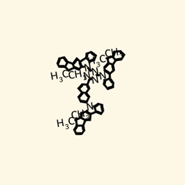 CC1(C)c2ccccc2-c2cc3c4ccccc4n(-c4ccc5ccc(-c6nc(-n7c8ccccc8c8cc9c(cc87)C(C)(C)c7ccccc7-9)nc(-n7c8ccccc8c8cc9c(cc87)C(C)(C)c7ccccc7-9)n6)cc5c4)c3cc21